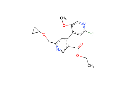 CCOC(=O)c1cnc(COC2CC2)cc1-c1cc(Cl)ncc1OC